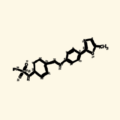 Cc1cnc(-c2ccc(NCC3CCC(NS(=O)(=O)C(C)C)CC3)cc2)o1